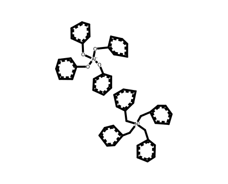 c1ccc(C[N+](Cc2ccccc2)(Cc2ccccc2)Cc2ccccc2)cc1.c1ccc([O][Al-]([O]c2ccccc2)([O]c2ccccc2)[O]c2ccccc2)cc1